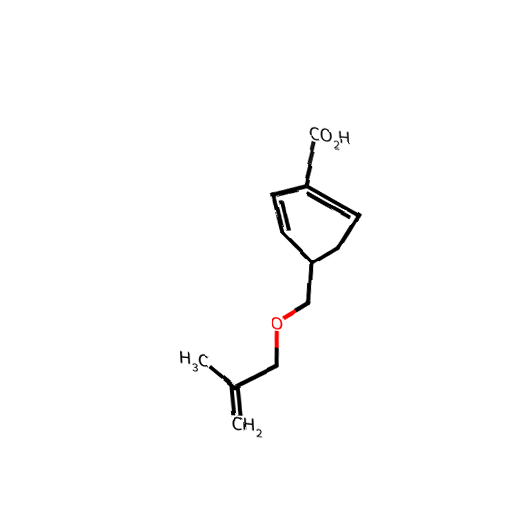 C=C(C)COCC1C=CC(C(=O)O)=CC1